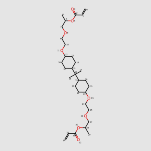 C=CC(=O)OC(C)COCCOC1CCC(C(C)(C)C2CCC(OCCOCC(C)OC(=O)C=C)CC2)CC1